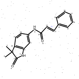 CC1(C)C(=O)Nc2cc(NC(=O)/C=C/c3ccccc3)ccc21